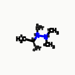 CCCN([C@@H](C)C(C)C)N(C)C